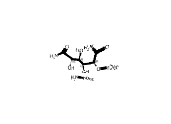 CCCCCCCCCCN.CCCCCCCCCCO[C@@H](C(N)=O)[C@@H](O)[C@H](O)[C@H](O)C(N)=O